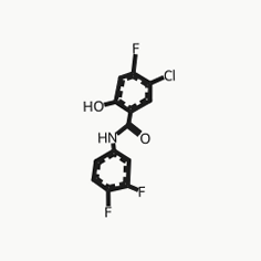 O=C(Nc1ccc(F)c(F)c1)c1cc(Cl)c(F)cc1O